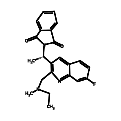 CCN(C)Cc1nc2cc(F)ccc2cc1[C@H](C)N1C(=O)c2ccccc2C1=O